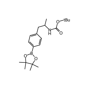 CC(Cc1ccc(B2OC(C)(C)C(C)(C)O2)cc1)NC(=O)OC(C)(C)C